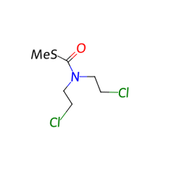 CSC(=O)N(CCCl)CCCl